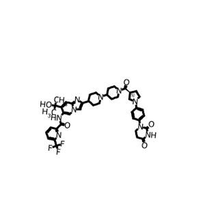 CC(C)(O)c1cc2nc(C3CCN(C4CCN(C(=O)[C@H]5CCN(c6ccc(N7CCC(=O)NC7=O)cc6)C5)CC4)CC3)cn2cc1NC(=O)c1cccc(C(F)(F)F)n1